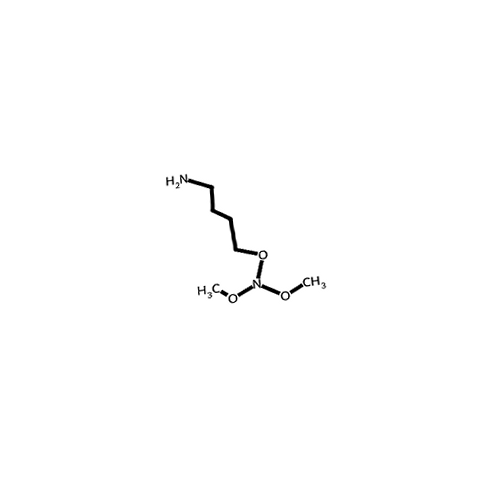 CON(OC)OCCCCN